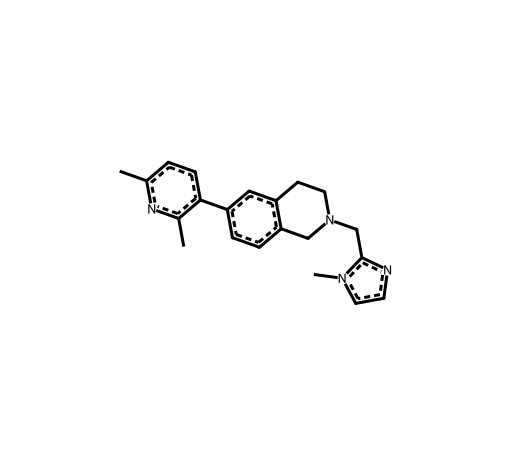 Cc1ccc(-c2ccc3c(c2)CCN(Cc2nccn2C)C3)c(C)n1